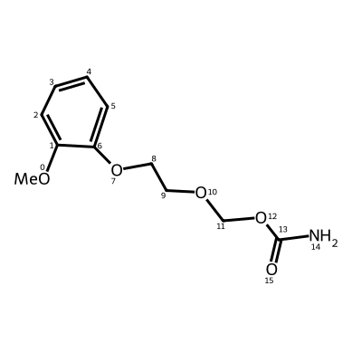 COc1ccccc1OCCOCOC(N)=O